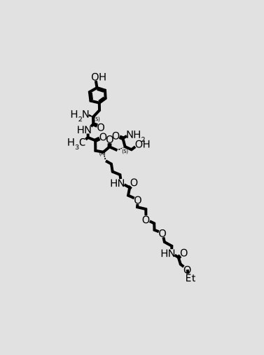 CCOCC(=O)NCCOCCOCCOCC(=O)NCCCC[C@H](CC(=O)C(C)NC(=O)[C@@H](N)Cc1ccc(O)cc1)C(=O)C[C@@H](CO)C(N)=O